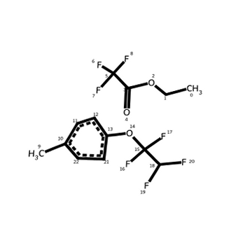 CCOC(=O)C(F)(F)F.Cc1ccc(OC(F)(F)C(F)F)cc1